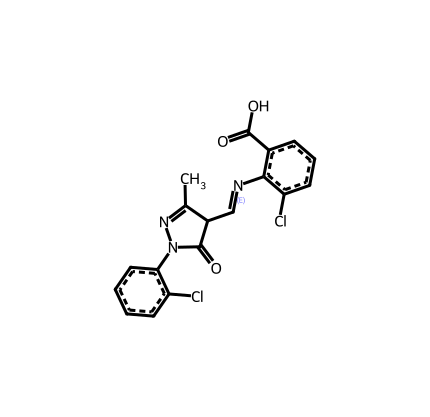 CC1=NN(c2ccccc2Cl)C(=O)C1/C=N/c1c(Cl)cccc1C(=O)O